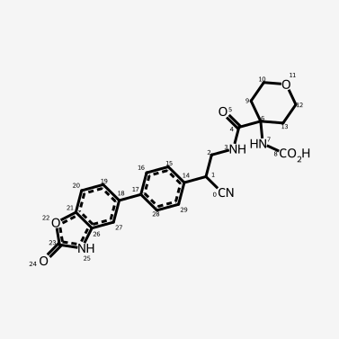 N#CC(CNC(=O)C1(NC(=O)O)CCOCC1)c1ccc(-c2ccc3oc(=O)[nH]c3c2)cc1